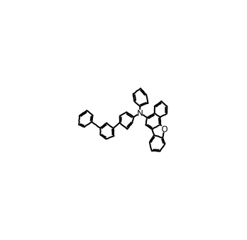 c1ccc(-c2cccc(-c3ccc(N(c4ccccc4)c4cc5c6ccccc6oc5c5ccccc45)cc3)c2)cc1